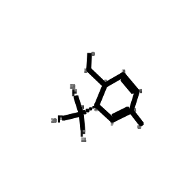 CCC1C=CC(C)=C[C@@H]1C(F)(F)F